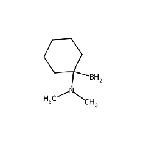 BC1(N(C)C)CCCCC1